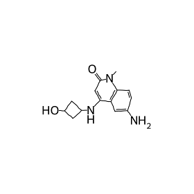 Cn1c(=O)cc(NC2CC(O)C2)c2cc(N)ccc21